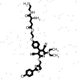 CCN(CC)c1nc(SCc2csc(-c3ccc(Cl)cc3)n2)c(C#N)c(-c2ccc(OCCOC(=O)CC[C@H](N)C(=O)NCCN)cc2)c1C#N